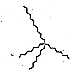 CCCCCCCCCCCC[PH](CCCCCCCC)(CCCCCCCC)CCCCCCCC.Cl